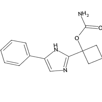 NC(=O)OC1(c2ncc(-c3ccccc3)[nH]2)CCC1